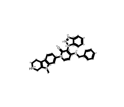 Cn1c2c(c3ccc(-n4ccc(OCc5ccccc5)c(-n5nnc6ccccc65)c4=O)cc31)CCNC2